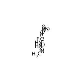 Cc1cc(NC(=O)Nc2cccc(CN3CCN(C(=O)N4CCC4)CC3)c2F)ccn1